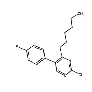 CCCCCCc1nc(Cl)ncc1-c1ccc(F)cc1